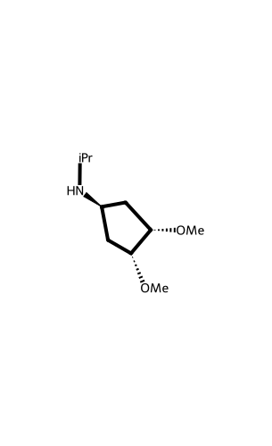 CO[C@H]1C[C@H](NC(C)C)C[C@H]1OC